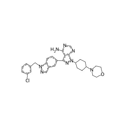 Nc1ncnc2c1c(-c1ccc3c(cnn3Cc3cccc(Cl)c3)c1)nn2C1CCC(N2CCOCC2)CC1